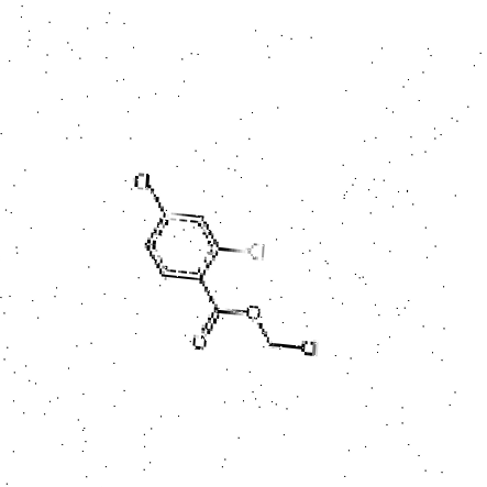 O=C(OCCl)c1ccc(Cl)cc1Cl